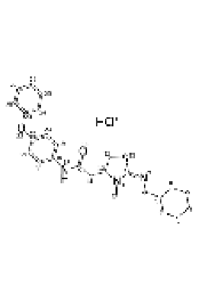 CN1C(=NCC2CCCCC2)SCC1CC(=O)Nc1ccc(Oc2ccccc2)cc1.Cl